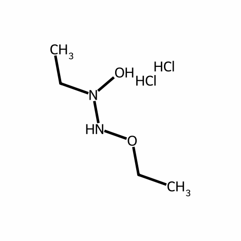 CCONN(O)CC.Cl.Cl